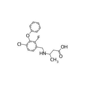 CC(CC(=O)O)NCc1ccc(Cl)c(Oc2ccccc2)c1F